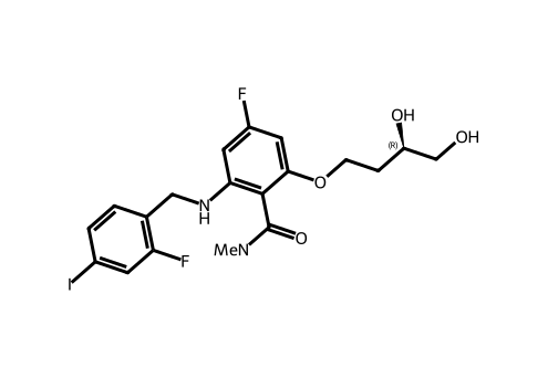 CNC(=O)c1c(NCc2ccc(I)cc2F)cc(F)cc1OCC[C@@H](O)CO